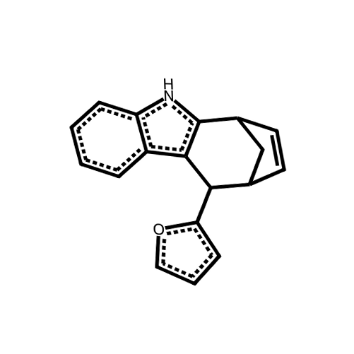 C1=CC2CC1c1[nH]c3ccccc3c1C2c1ccco1